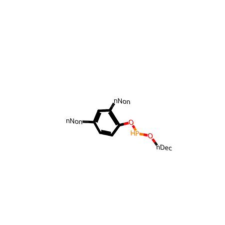 CCCCCCCCCCOPOc1ccc(CCCCCCCCC)cc1CCCCCCCCC